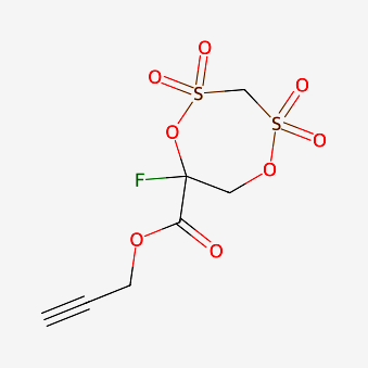 C#CCOC(=O)C1(F)COS(=O)(=O)CS(=O)(=O)O1